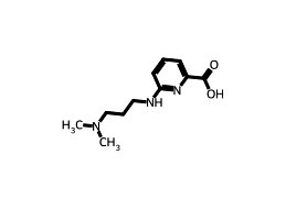 CN(C)CCCNc1cccc(C(=O)O)n1